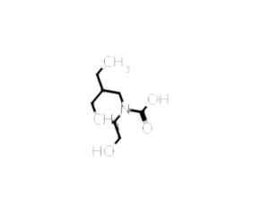 CCC(CC)CN(CCO)C(=O)O